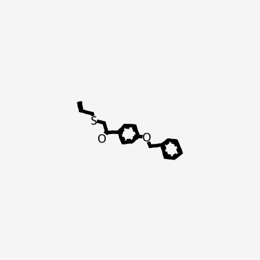 C=CCSCC(=O)c1ccc(OCc2ccccc2)cc1